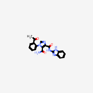 CC(=O)c1ccccc1-n1cnc(C(=O)Nc2nc3ccccc3[nH]2)c1C(N)=O